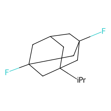 CC(C)C12CC3CC(F)(CC(F)(C3)C1)C2